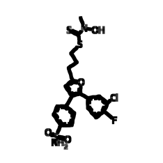 CN(O)C(=S)SCCCc1cc(-c2ccc(S(N)(=O)=O)cc2)c(-c2ccc(F)c(Cl)c2)o1